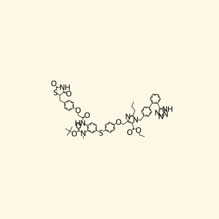 CCCc1nc(COc2ccc(Sc3ccc(NC(=O)COc4ccc(CC5SC(=O)NC5=O)cc4)c(N(C)C(=O)OC(C)(C)C)c3)cc2)c(C(=O)OCC)n1Cc1ccc(-c2ccccc2-c2nnn[nH]2)cc1